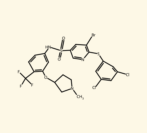 CN1CCC(Oc2cc(NS(=O)(=O)c3cnc(Sc4cc(Cl)cc(Cl)c4)c(Br)c3)ccc2C(F)(F)F)C1